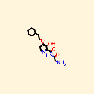 NCC(=O)NC(=O)c1nccc(OCCC2CCCCC2)c1O